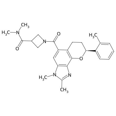 Cc1ccccc1[C@@H]1CCc2c(C(=O)N3CC(C(=O)N(C)C)C3)cc3c(nc(C)n3C)c2O1